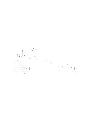 COc1cc(N2CCC(N3CCN(CCc4ccc(C5CCC(=O)NC5=O)cc4)CC3)CC2)ccc1Nc1ncc(Cl)c(Nc2cccc3c2N(S(C)(=O)=O)CC3)n1